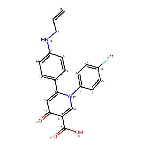 C=CCNc1ccc(-c2cc(=O)c(C(=O)O)cn2-c2ccc(F)cc2)cc1